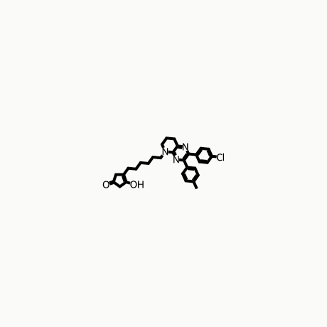 Cc1ccc(-c2nc3c(nc2-c2ccc(Cl)cc2)CCCN3CCCCCCC2=C(O)CC(=O)C2)cc1